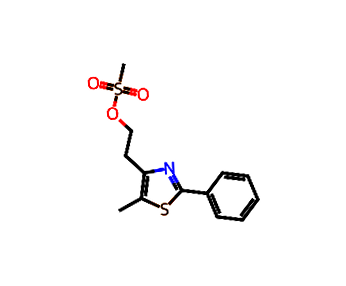 Cc1sc(-c2ccccc2)nc1CCOS(C)(=O)=O